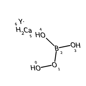 OOB(O)O.[CaH2].[Y]